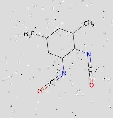 CC1CC(C)C(N=C=O)C(N=C=O)C1